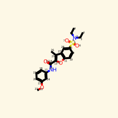 CCN(CC)S(=O)(=O)c1ccc2oc(C(=O)Nc3cccc(OC)c3)c(C)c2c1